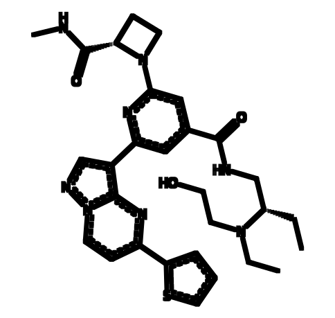 CC[C@@H](CNC(=O)c1cc(-c2cnn3ccc(-c4cccs4)nc23)nc(N2CC[C@H]2C(=O)NC)c1)N(CC)CCO